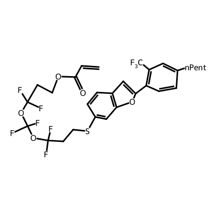 C=CC(=O)OCCC(F)(F)OC(F)(F)OC(F)(F)CCSc1ccc2cc(-c3ccc(CCCCC)cc3C(F)(F)F)oc2c1